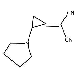 N#CC(C#N)=C1CC1N1CCCC1